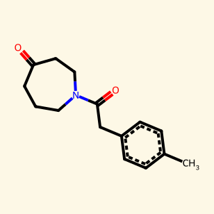 Cc1ccc(CC(=O)N2CCCC(=O)CC2)cc1